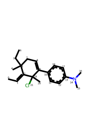 C/C=C1\C(C)(CC)CC=C(c2ccc(N(C)C)cc2)C1(C)Cl